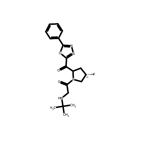 CC(C)(C)NCC(=O)N1C[C@@H](F)CC1C(=O)c1nnc(-c2ccccc2)o1